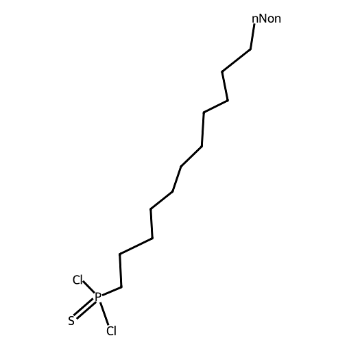 CCCCCCCCCCCCCCCCCCCCP(=S)(Cl)Cl